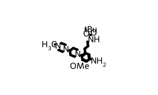 COc1cc(N2CCC(N3CCN(C)CC3)CC2)c(CCCNC(=O)OC(C)(C)C)cc1N